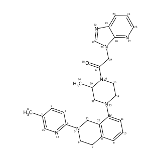 Cc1ccc(N2CCc3cccc(N4CCN(C(=O)Cn5cnc6cccnc65)C(C)C4)c3C2)nc1